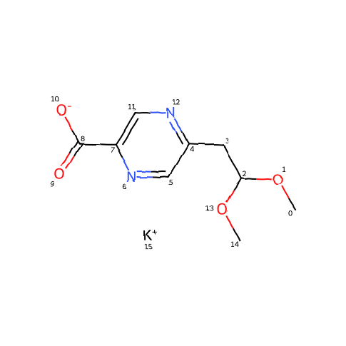 COC(Cc1cnc(C(=O)[O-])cn1)OC.[K+]